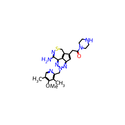 COc1c(C)cnc(Cn2nc3cc(CC(=O)N4CCNCC4)c4c-3c(n2)C(N)=NSC4)c1C